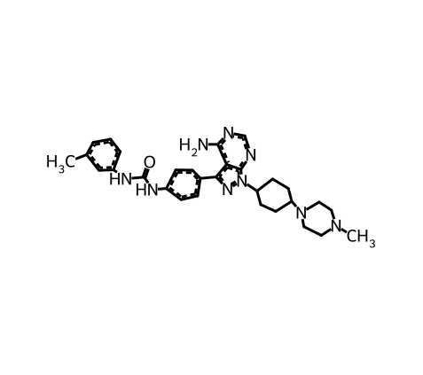 Cc1cccc(NC(=O)Nc2ccc(-c3nn(C4CCC(N5CCN(C)CC5)CC4)c4ncnc(N)c34)cc2)c1